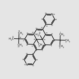 CC(C)(C)C1=CC2=CC(c3ccncc3)=C3C=C(C(C)(C)C)C=C4C=C(c5ccncc5)C(=C1)C2(C)C43C